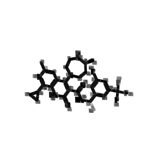 Cc1cc2c(N3CCN[C@@H](C)CC3)c(C(=O)N[C@@H](C)c3cc(F)cc(C(F)(F)F)c3)c(=O)[nH]c2c(C2CC2)n1